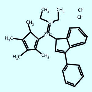 C[CH2][Ge]([CH2]C)=[Zr+2]([C]1=C(C)C(C)=C(C)C1C)[CH]1C=C(c2ccccc2)c2ccccc21.[Cl-].[Cl-]